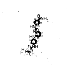 CC(C)(C)OC(=O)N[C@H]1CC[C@@H](Nc2cccc3nc(Nc4ccc(C(N)=O)cc4)nn23)CC1